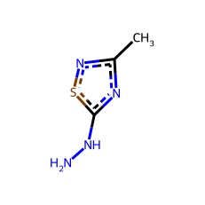 Cc1nsc(NN)n1